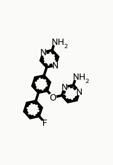 Nc1cnc(-c2ccc(-c3cccc(F)c3)c(Oc3ccnc(N)n3)c2)cn1